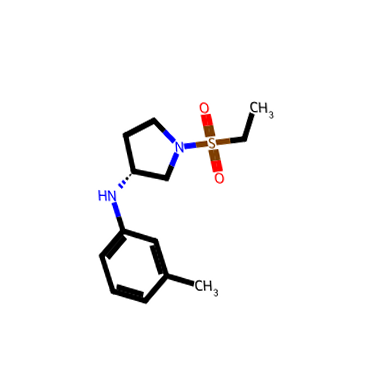 CCS(=O)(=O)N1CC[C@@H](Nc2cccc(C)c2)C1